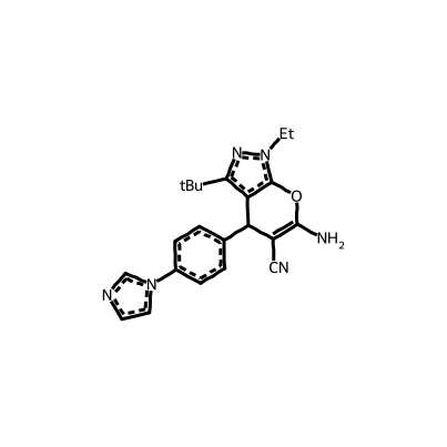 CCn1nc(C(C)(C)C)c2c1OC(N)=C(C#N)C2c1ccc(-n2ccnc2)cc1